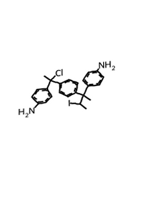 CC(I)C(C)(c1ccc(N)cc1)c1ccc(C(C)(Cl)c2ccc(N)cc2)cc1